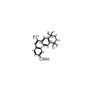 CC/C(=C/c1ccc(OC)cc1)c1ccc2c(c1)C(C)(C)CCC2(C)C